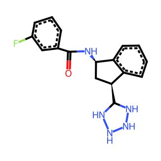 O=C(N[C@@H]1C[C@H](C2NNNN2)c2ccccc21)c1cccc(F)c1